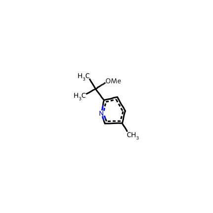 COC(C)(C)c1ccc(C)cn1